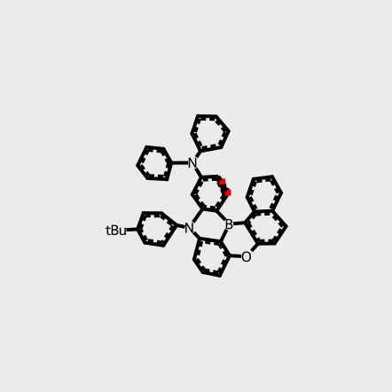 CC(C)(C)c1ccc(N2c3cccc4c3B(c3c(ccc5ccccc35)O4)c3c2cc(N(c2ccccc2)c2ccccc2)c2ccccc32)cc1